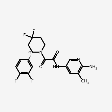 Cc1cc(NC(=O)C(=O)N2CCC(F)(F)C[C@H]2c2ccc(F)c(F)c2)cnc1N